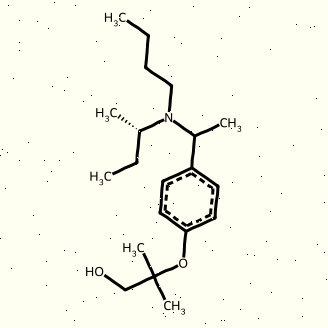 CCCCN(C(C)c1ccc(OC(C)(C)CO)cc1)[C@@H](C)CC